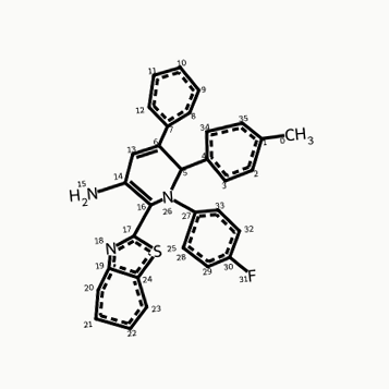 Cc1ccc(C2C(c3ccccc3)=CC(N)=C(c3nc4ccccc4s3)N2c2ccc(F)cc2)cc1